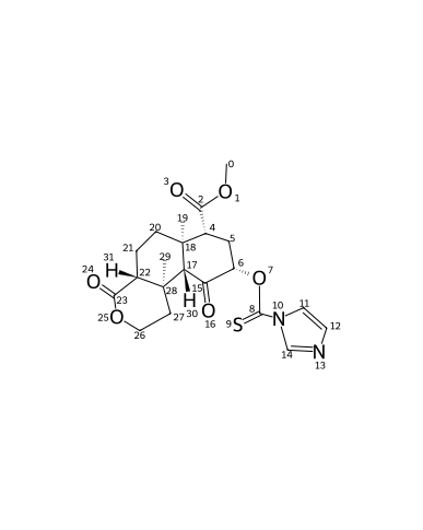 COC(=O)[C@@H]1C[C@H](OC(=S)n2ccnc2)C(=O)[C@H]2[C@@]1(C)CC[C@H]1C(=O)OCC[C@]21C